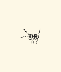 CCCCC[CH2][SnH]([CH2]CCCCC)[O]C(=O)CC(O)C(=O)[O][SnH]([CH2]CCCCC)[CH2]CCCCC